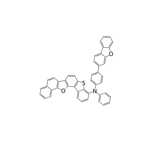 c1ccc(N(c2ccc(-c3ccc4c(c3)oc3ccccc34)cc2)c2cccc3c2sc2ccc4c5ccc6ccccc6c5oc4c23)cc1